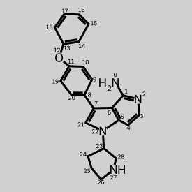 Nc1nccc2c1c(-c1ccc(Oc3ccccc3)cc1)cn2C1CCCNC1